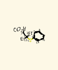 CCC(CC)(CC(=O)O)Sc1ccccc1